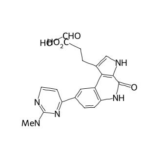 CNc1nccc(-c2ccc3[nH]c(=O)c4[nH]cc(CCC(=O)O)c4c3c2)n1.O=CO